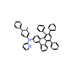 CC1C=C(N(c2ccc3c(c2)c2ccccc2c2c(-c4ccccc4)cc(-c4ccccc4)c(-c4ccccc4)c32)c2ccccn2)C=CC1c1ccccc1